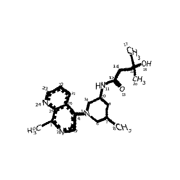 Cc1ncc(N2CC(C)CC(NC(=O)CC(C)(C)O)C2)c2cccnc12